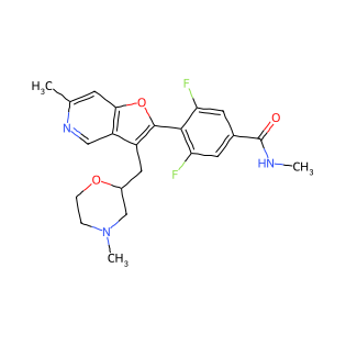 CNC(=O)c1cc(F)c(-c2oc3cc(C)ncc3c2CC2CN(C)CCO2)c(F)c1